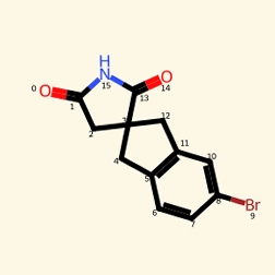 O=C1CC2(Cc3ccc(Br)cc3C2)C(=O)N1